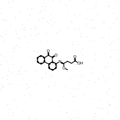 COC(CCC(=O)O)=Nc1cccc2c1C(=O)C(=O)c1ccccc1-2